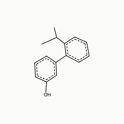 CC(C)c1ccccc1-c1cccc(O)c1